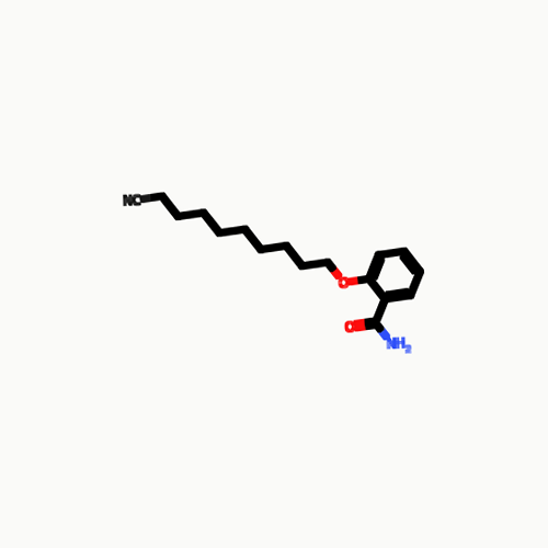 N#CCCCCCCCCCOc1ccccc1C(N)=O